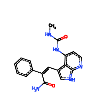 CNC(=O)Nc1ccnc2[nH]cc(C=C(C(N)=O)c3ccccc3)c12